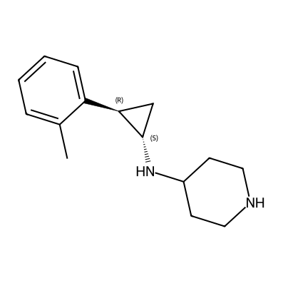 Cc1ccccc1[C@H]1C[C@@H]1NC1CCNCC1